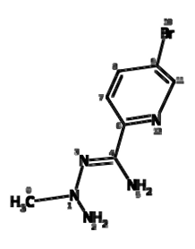 CN(N)/N=C(\N)c1ccc(Br)cn1